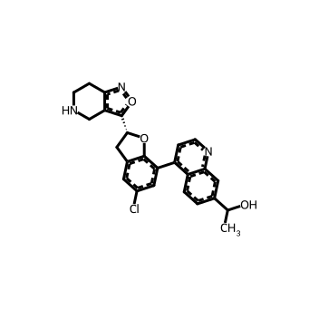 CC(O)c1ccc2c(-c3cc(Cl)cc4c3O[C@@H](c3onc5c3CNCC5)C4)ccnc2c1